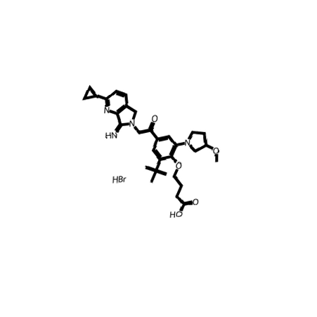 Br.COC1CCN(c2cc(C(=O)CN3Cc4ccc(C5CC5)nc4C3=N)cc(C(C)(C)C)c2OCCCC(=O)O)C1